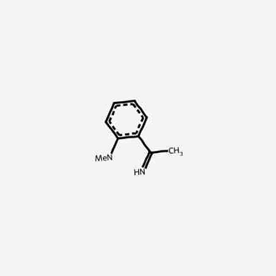 CNc1ccccc1C(C)=N